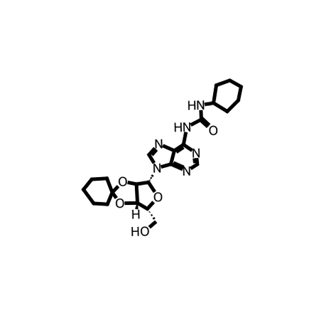 O=C(Nc1ncnc2c1ncn2[C@@H]1O[C@H](CO)[C@@H]2OC3(CCCCC3)OC21)NC1CCCCC1